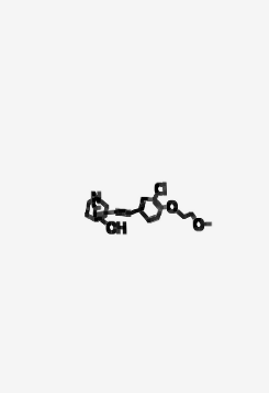 COCCOc1ccc(C#CC2(O)CN3CCC2CC3)cc1Cl